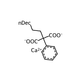 CCCCCCCCCCCCC(C(=O)[O-])(C(=O)[O-])c1ccccc1.[Ca+2]